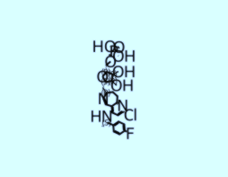 C[C@H](Nc1cc(Cl)nc2c1C=N[C@@H](C[C@@H]1O[C@H](COCP(=O)(O)O)[C@@H](O)[C@H]1O)CC2)c1ccc(F)cc1